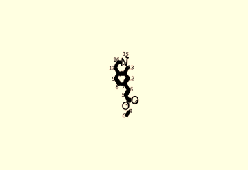 CCOC(=O)C=Cc1ccc2c(c1)CN(C)CC2